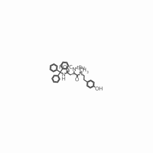 CN(CCc1ccc(O)cc1)C(=O)[C@@H](CC(=O)NC(c1ccccc1)(c1ccccc1)c1ccccc1)N(C(=O)O)C(C)(C)C